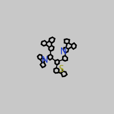 c1cc(-c2cc(-c3cc(-c4ccc5c6ccccc6c6ccccc6c5c4)cc(-n4c5ccccc5c5ccccc54)c3)cc(-c3cccc4c3sc3ccccc34)c2)cc(-c2cc3c4ccccc4c4ccccc4c3cn2)c1